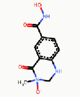 C[N+]1([O-])CNc2ccc(C(=O)NO)cc2C1=O